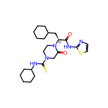 O=C(Nc1nccs1)[C@H](CC1CCCCC1)N1CCN(C(=S)NC2CCCCC2)CC1=O